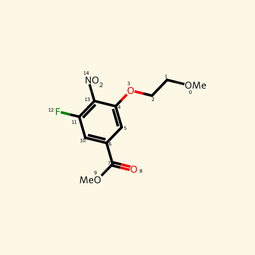 COCCOc1cc(C(=O)OC)cc(F)c1[N+](=O)[O-]